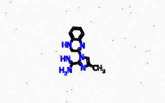 Cc1cn(C2=Nc3ccccc3NC2)c(C(=N)N)n1